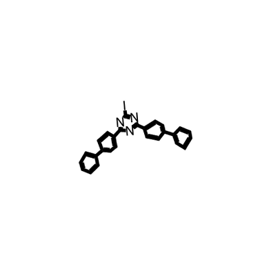 Ic1nc(-c2ccc(-c3ccccc3)cc2)nc(-c2ccc(-c3ccccc3)cc2)n1